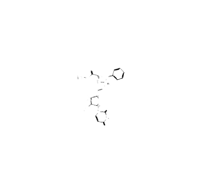 CC(C)OC(=O)[C@H](C)NP(=O)(OC[C@H]1O[C@@H](n2ccc(=S)[nH]c2=O)C(C(F)(F)F)[C@H]1O)Oc1ccccc1